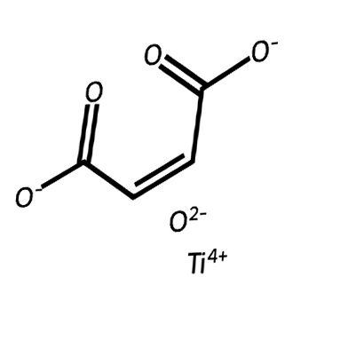 O=C([O-])/C=C\C(=O)[O-].[O-2].[Ti+4]